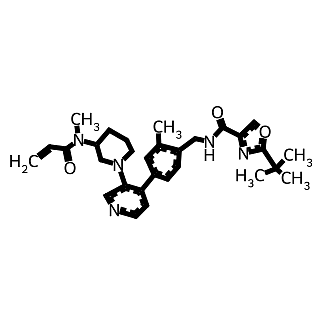 C=CC(=O)N(C)C1CCCN(c2cnccc2-c2ccc(CNC(=O)c3coc(C(C)(C)C)n3)c(C)c2)C1